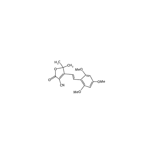 COc1cc(OC)c(/C=C/C2=C(C#N)C(=O)OC2(C)C)c(OC)c1